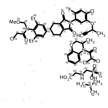 C#CC(C)Oc1cc(N2C(=O)C3=C(CCCC3)C2=O)c(F)cc1Cl.CC1COc2ccccc2N1C(=O)C(Cl)Cl.CCc1cccc(CC)c1N(COC)C(=O)CCl.C[S+](C)C.O=C(O)CNCP(=O)([O-])O